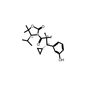 CC(C)[C@@H]1N(C(=O)[C@](C)(F)[C@H](c2cccc(O)c2)C2CC2)C(=O)OC1(C)C